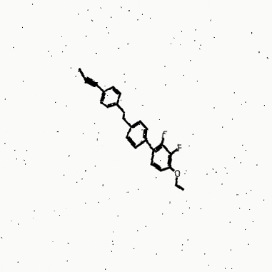 CC#Cc1ccc(CCc2ccc(-c3ccc(OCC)c(F)c3F)cc2)cc1